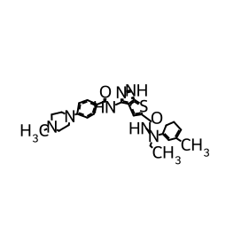 CCN(NC(=O)c1cc2c(NC(=O)c3ccc(N4CCN(C)CC4)cc3)n[nH]c2s1)C1=CC(C)=CCC1